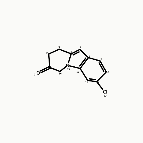 O=C1CCc2cc3ccc(Cl)cc3n2C1